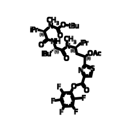 CCC(C)[C@H](NC(=O)[C@@H](C(C)C)N(C)C(=O)OC(C)(C)C)C(=O)N(C)[C@H](C[C@@H](OC(C)=O)c1nc(C(=O)Oc2c(F)c(F)c(F)c(F)c2F)cs1)C(C)C